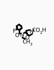 CC1CN(C(=O)c2ccccc2F)CC2(CCN(C(=O)O)CC2)O1